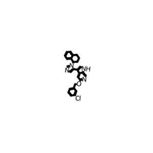 Clc1cccc(COc2cc3c(-c4cncn4C4CCCc5ccccc54)c[nH]c3cn2)c1